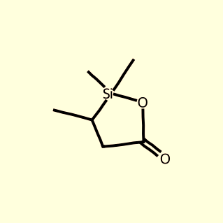 CC1CC(=O)O[Si]1(C)C